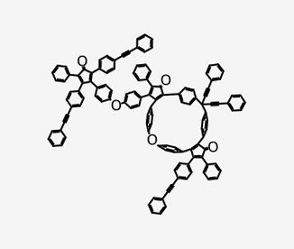 O=C1C(c2ccccc2)=C(c2ccc(C#Cc3ccccc3)cc2)C(c2ccc(Oc3ccc(C4=C(c5ccccc5)C(=O)C5=C4c4ccc(cc4)Oc4ccc(cc4)C4=C(C(=O)C(c6ccccc6)=C4c4ccc(C#Cc6ccccc6)cc4)c4ccc(cc4)C(C#Cc4ccccc4)(C#Cc4ccccc4)c4ccc5cc4)cc3)cc2)=C1c1ccc(C#Cc2ccccc2)cc1